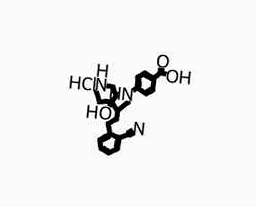 Cl.N#Cc1ccccc1CCC(CNc1ccc(C(=O)O)cc1)C1(O)CCNCC1